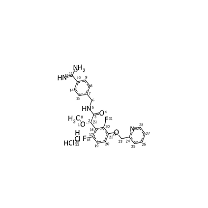 CO[C@H](C(=O)NCc1ccc(C(=N)N)cc1)c1c(F)ccc(OCc2ccccn2)c1F.Cl.Cl